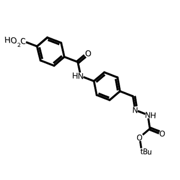 CC(C)(C)OC(=O)NN=Cc1ccc(NC(=O)c2ccc(C(=O)O)cc2)cc1